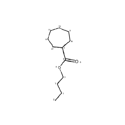 CCC[CH]OC(=O)C1CCCCCC1